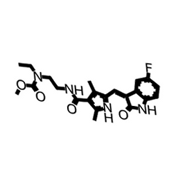 CCN(CCNC(=O)c1c(C)[nH]c(/C=C2\C(=O)Nc3ccc(F)cc32)c1C)C(=O)OC